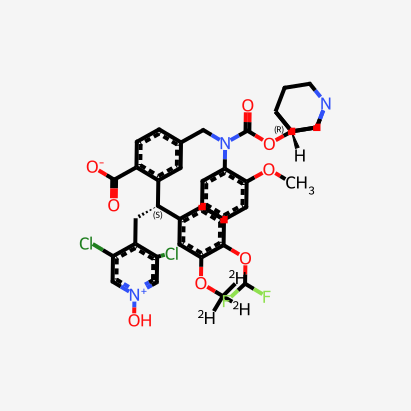 [2H]C([2H])([2H])Oc1cc([C@H](Cc2c(Cl)c[n+](O)cc2Cl)c2cc(CN(C(=O)O[C@H]3CN4CCC3CC4)c3ccccc3OC)ccc2C(=O)[O-])ccc1OC(F)F